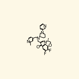 Cc1cc(CN(Cc2cn3c4c(c(F)c(F)cc4c2=O)OC[C@@H]3C)[C@H]2CCCN(c3cccnc3)C2)ccn1